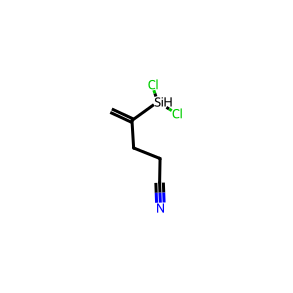 C=C(CCC#N)[SiH](Cl)Cl